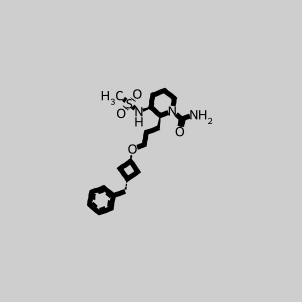 CS(=O)(=O)N[C@H]1CCCN(C(N)=O)[C@H]1CCCO[C@H]1C[C@@H](Cc2ccccc2)C1